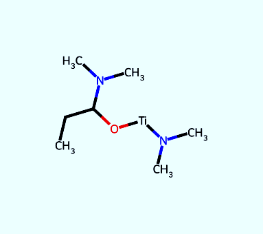 CCC([O][Ti][N](C)C)N(C)C